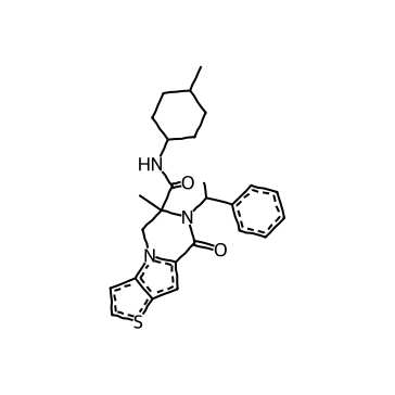 CC1CCC(NC(=O)C2(C)Cn3c(cc4sccc43)C(=O)N2C(C)c2ccccc2)CC1